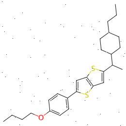 CCCCOc1ccc(-c2cc3sc(C(C)C4CCC(CCC)CC4)cc3s2)cc1